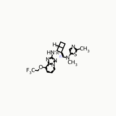 Cc1ncc(N(C)/C=C2\C3CC[C@H]3[C@H]2Nc2nc3c(OCC(F)(F)F)cccn3n2)s1